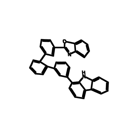 c1cc(-c2nc3ccccc3o2)cc(-c2ccccc2-c2cccc(-c3cccc4c3[nH]c3ccccc34)c2)c1